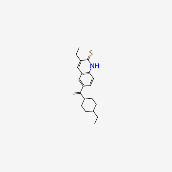 C=C(c1ccc2[nH]c(=S)c(CC)cc2c1)C1CCC(CC)CC1